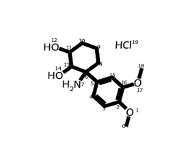 COc1ccc(C2(N)CCCC(O)C2O)cc1OC.Cl